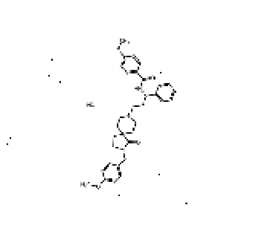 COc1ccc(CN2CCC3(CCN(CCC(NC(=O)c4ccc(OC)cc4)c4ccccc4)CC3)C2=O)cc1.Cl